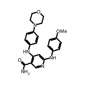 COc1ccc(Nc2cc(Nc3ccc(N4CCOCC4)cc3)c(C(N)=O)cn2)cc1